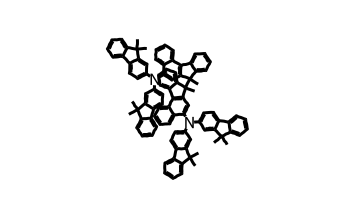 CC1(C)c2ccccc2-c2ccc(N(c3ccc4c(c3)C(C)(C)c3ccccc3-4)c3cc4c(c5ccccc35)-c3ccccc3C4(C)C3(C)c4ccccc4-c4c3cc(N(c3ccc5c(c3)C(C)(C)c3ccccc3-5)c3ccc5c(c3)C(C)(C)c3ccccc3-5)c3ccccc43)cc21